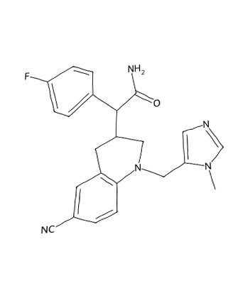 Cn1cncc1CN1CC(C(C(N)=O)c2ccc(F)cc2)Cc2cc(C#N)ccc21